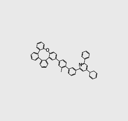 Cc1cc(-c2ccc3oc4ccccc4c4ccccc4c4ccccc4c3c2)ccc1-c1cccc(-c2cc(C3C=CC=CC3)cc(-c3ccccc3)n2)c1